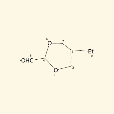 CCC1COC([C]=O)OC1